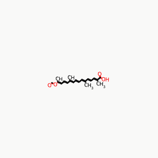 CC(/C=C/C=C(\C)OC=O)=C\C=C\C=C(C)\C=C\C=C(/C)C(=O)O